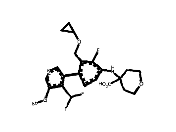 CCOc1cncc(-c2ccc(NC3(C(=O)O)CCOCC3)c(F)c2COC2CC2)c1C(F)F